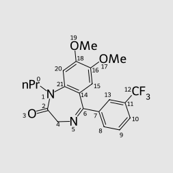 CCCN1C(=O)CN=C(c2cccc(C(F)(F)F)c2)c2cc(OC)c(OC)cc21